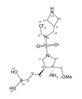 COC[C@]1(N)CN(S(=O)(=O)N(CC2CNC2)CC(F)(F)F)C[C@@H]1CCCB(O)O